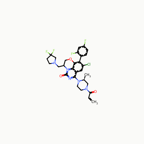 C=CC(=O)N1CCN(c2nc(=O)n3c4c(c(-c5ccc(F)cc5F)c(Cl)cc24)OCC3CN2CCC(F)(F)C2)[C@@H](C)C1